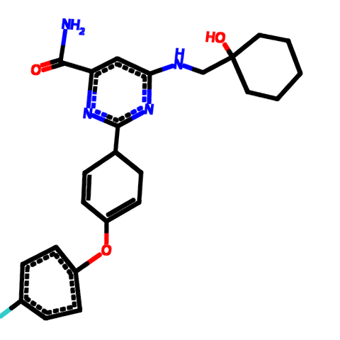 NC(=O)c1cc(NCC2(O)CCCCC2)nc(C2C=CC(Oc3ccc(F)cc3)=CC2)n1